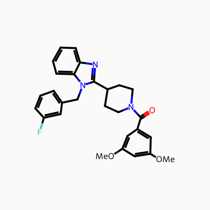 COc1cc(OC)cc(C(=O)N2CCC(c3nc4ccccc4n3Cc3cccc(F)c3)CC2)c1